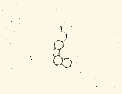 C=C/C=C\c1ccc2oc3ccc4ccccc4c3c2c1